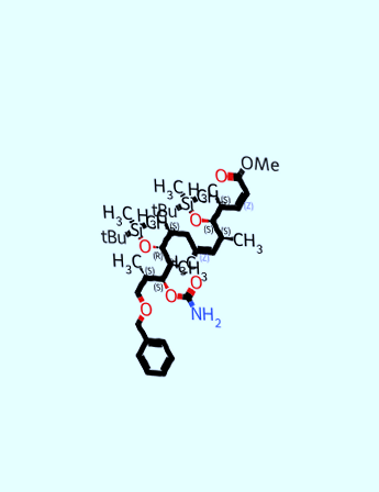 COC(=O)/C=C\[C@H](C)[C@H](O[Si](C)(C)C(C)(C)C)[C@@H](C)/C=C(/C)C[C@H](C)[C@@H](O[Si](C)(C)C(C)(C)C)[C@H](C)[C@@H](OC(N)=O)[C@@H](C)COCc1ccccc1